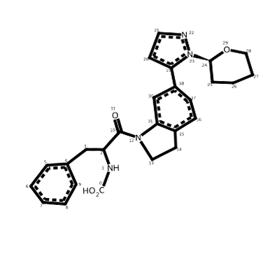 O=C(O)NC(Cc1ccccc1)C(=O)N1CCc2ccc(-c3ccnn3[C@@H]3CCCCO3)cc21